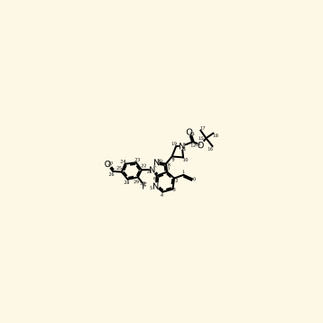 C=Cc1ccnc2c1c(C1CN(C(=O)OC(C)(C)C)C1)nn2-c1ccc(C=O)cc1F